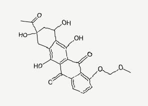 COCOc1cccc2c1C(=O)c1c(O)c3c(c(O)c1C2=O)CC(O)(C(C)=O)CC3O